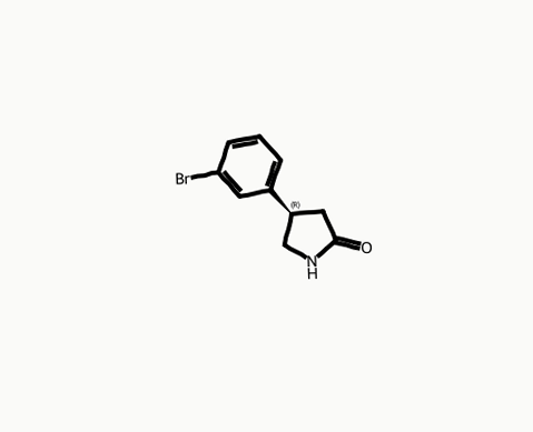 O=C1C[C@H](c2cccc(Br)c2)CN1